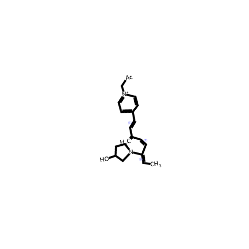 C=C(/C=C\C(=C/C)N1CCC(O)C1)/C=C/c1cc[n+](CC(C)=O)cc1